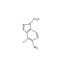 O=C(O)n1ncc2c(F)c([N+](=O)[O-])ccc21